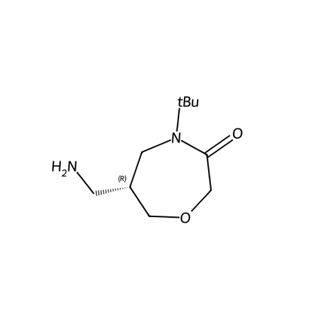 CC(C)(C)N1C[C@@H](CN)COCC1=O